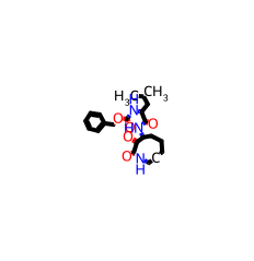 CC(C)CC(NC(=O)OCc1ccccc1)C(=O)NC1CCCCCNC(=O)C1=O